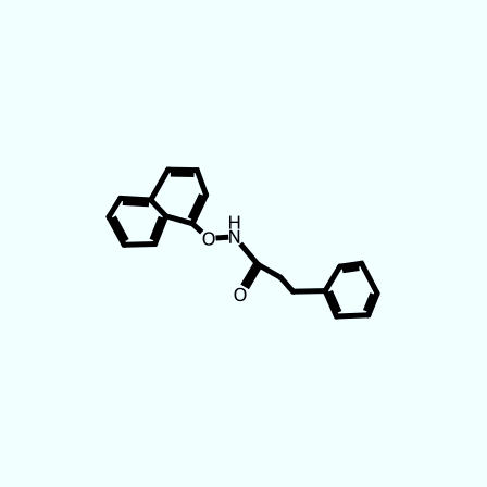 O=C(CCc1ccccc1)NOc1cccc2ccccc12